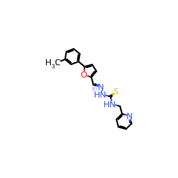 Cc1cccc(-c2ccc(/C=N/NC(=S)NCc3ccccn3)o2)c1